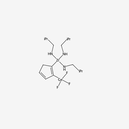 CC(C)C[NH][Zr]([NH]CC(C)C)([NH]CC(C)C)[C]1=[C]([Ge]([F])([F])[F])C=CC1